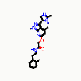 Cc1ccccc1CCNC(=O)COc1cc(C)c2c(-c3cnc(C)n3C)nn(C)c2n1